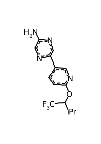 CC(C)C(Oc1ccc(-c2cnc(N)cn2)cn1)C(F)(F)F